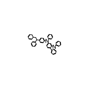 C1=CCC(CC(c2ccccc2)c2ccc(N(c3ccccc3)c3ccc4c5ccccc5n(-c5ccccc5)c4c3)cc2)C=C1